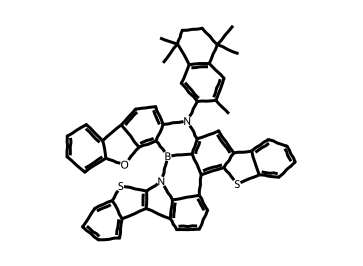 Cc1cc2c(cc1N1c3cc4c(sc5ccccc54)c4c3B(c3c1ccc1c3oc3ccccc31)n1c3sc5ccccc5c3c3cccc-4c31)C(C)(C)CCC2(C)C